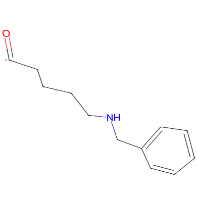 O=[C]CCCCNCc1ccccc1